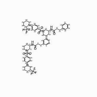 O=C(CCc1cccc(C2CC(NC(=O)CCc3ccccc3)CN(S(=O)(=O)c3ccc(N4CCCCC4C(F)(F)F)cc3)C2)c1)NC1CCCN(S(=O)(=O)c2ccc(N3CCCC(C(F)(F)F)C3)cc2)C1